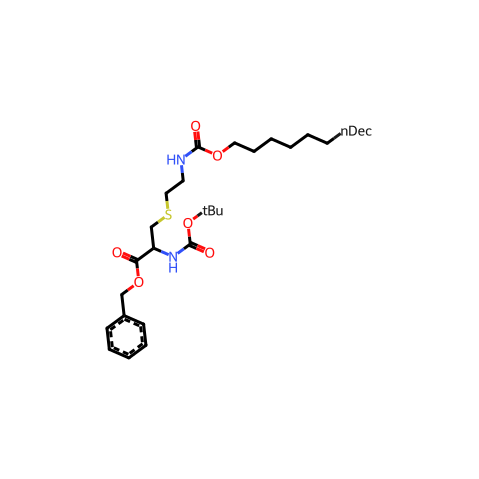 CCCCCCCCCCCCCCCCOC(=O)NCCSCC(NC(=O)OC(C)(C)C)C(=O)OCc1ccccc1